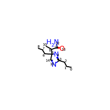 CCCC1=NC(CCC)(C(C)C(N)=O)C=N1